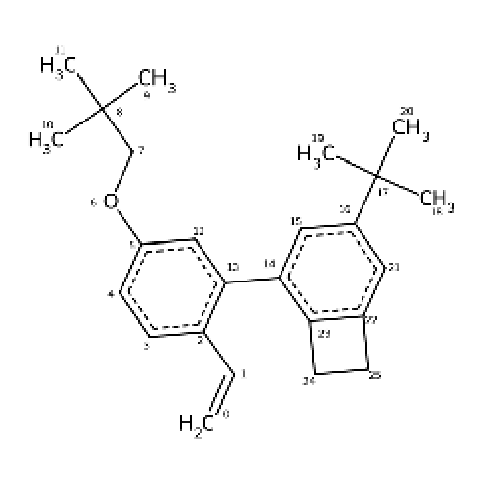 C=Cc1ccc(OCC(C)(C)C)cc1-c1cc(C(C)(C)C)cc2c1CC2